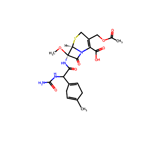 CO[C@]1(NC(=O)C(NC(N)=O)C2=CCC(C)=CC2)C(=O)N2C(C(=O)O)=C(COC(C)=O)CS[C@@H]21